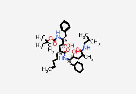 C=CCCC[C@H](C[C@H](O)[C@H](Cc1ccccc1)NC(=O)OC(C)(C)C)C(=O)N[C@@H](CC1CCCCC1)[C@@H](O)CC(=C)C(=O)NCC(C)C